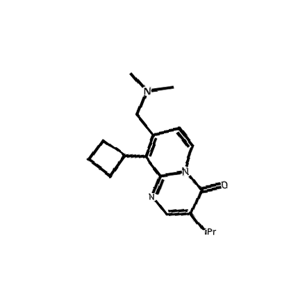 CC(C)c1cnc2c(C3CCC3)c(CN(C)C)ccn2c1=O